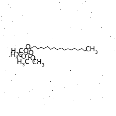 CCCCCCCCCCCCCCCCCC(=O)OC(OC)(OC)C(C)OC